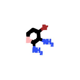 Nc1bccc(Br)c1N